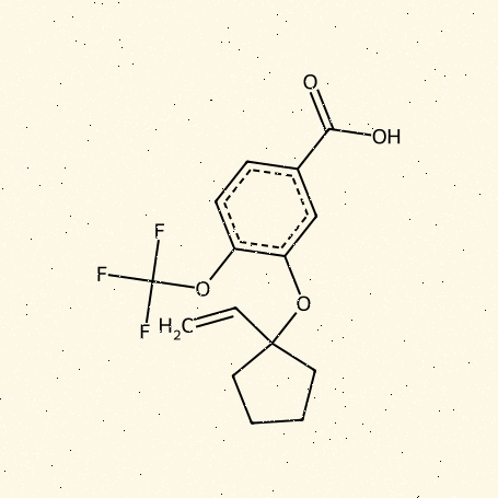 C=CC1(Oc2cc(C(=O)O)ccc2OC(F)(F)F)CCCC1